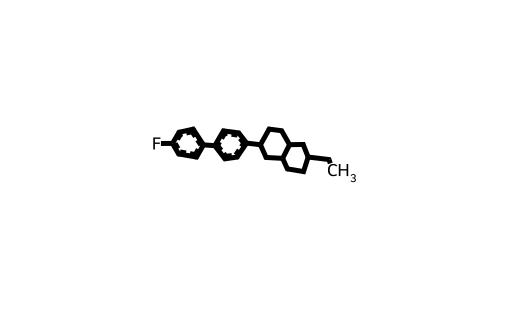 CCC1CCC2CC(c3ccc(-c4ccc(F)cc4)cc3)CCC2C1